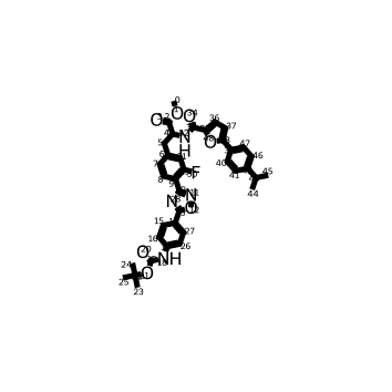 COC(=O)C(Cc1ccc(-c2noc(-c3ccc(NC(=O)OC(C)(C)C)cc3)n2)c(F)c1)NC(=O)c1ccc(-c2ccc(C(C)C)cc2)o1